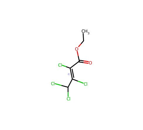 CCOC(=O)/C(Cl)=C(\Cl)C(Cl)Cl